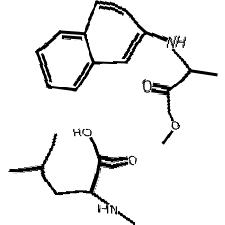 CNC(CC(C)C)C(=O)O.COC(=O)C(C)Nc1ccc2ccccc2c1